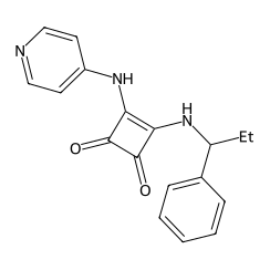 CCC(Nc1c(Nc2ccncc2)c(=O)c1=O)c1ccccc1